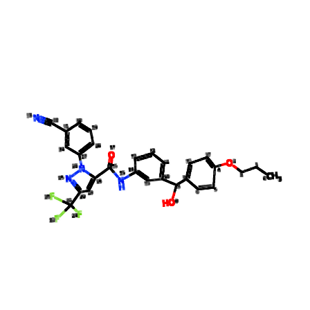 CCCOc1ccc(C(O)c2cccc(NC(=O)c3cc(C(F)(F)F)nn3-c3cccc(C#N)c3)c2)cc1